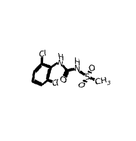 CS(=O)(=O)NC(=O)Nc1c(Cl)cccc1Cl